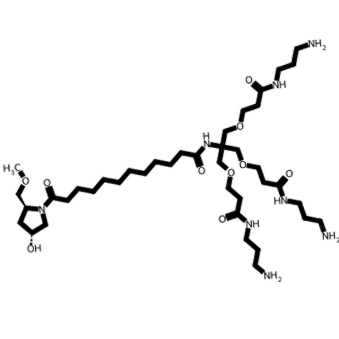 COC[C@@H]1C[C@@H](O)CN1C(=O)CCCCCCCCCCC(=O)NC(COCCC(=O)NCCCN)(COCCC(=O)NCCCN)COCCC(=O)NCCCN